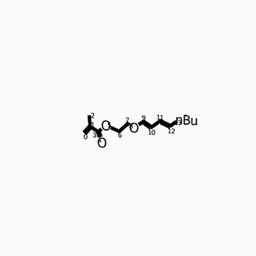 C=C(C)C(=O)OCCOC=CC=CCCCC